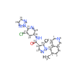 Cc1ccc2cnccc2c1-n1ncc(C(=O)Nc2cnc(-n3nccn3)c(Cl)c2)c1C(F)(F)F